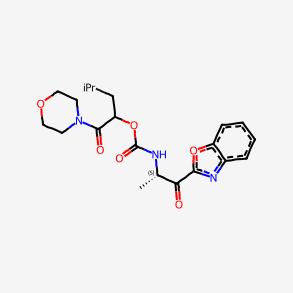 CC(C)CC(OC(=O)N[C@@H](C)C(=O)c1nc2ccccc2o1)C(=O)N1CCOCC1